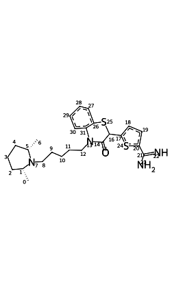 C[C@@H]1CCC[C@H](C)N1CCCCCN1C(=O)C(c2ccc(C(=N)N)s2)Sc2ccccc21